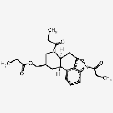 CCC(=O)OCC1C[C@H]2c3cccc4c3c(cn4C(=O)CC)C[C@@H]2N(C(=O)CC)C1